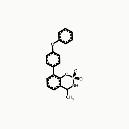 CC1NS(=O)(=O)Oc2c(-c3ccc(Oc4ccccc4)cc3)cccc21